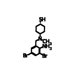 CN(Cc1cc(Br)cc(Br)c1N)[C@H]1CC[C@H](S)CC1